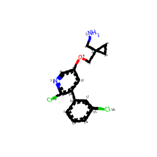 NCC1(COc2cnc(Cl)c(-c3cccc(Cl)c3)c2)CC1